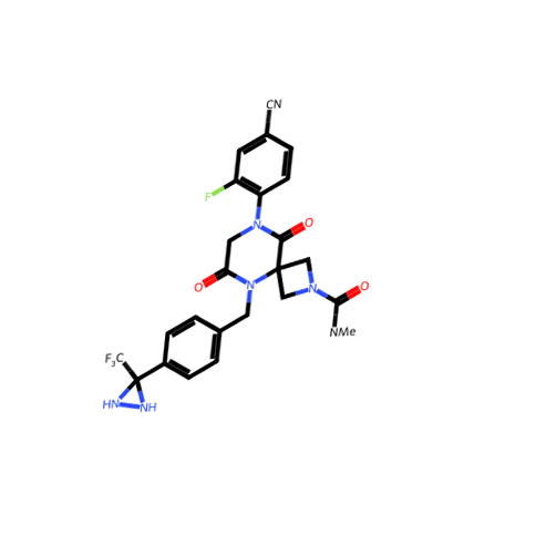 CNC(=O)N1CC2(C1)C(=O)N(c1ccc(C#N)cc1F)CC(=O)N2Cc1ccc(C2(C(F)(F)F)NN2)cc1